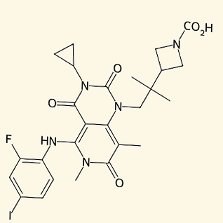 Cc1c(=O)n(C)c(Nc2ccc(I)cc2F)c2c(=O)n(C3CC3)c(=O)n(CC(C)(C)C3CN(C(=O)O)C3)c12